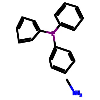 CN.c1ccc(P(c2ccccc2)c2ccccc2)cc1